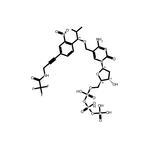 CC(C)[C@@H](OCc1cn([C@H]2C[C@H](O)[C@@H](COP(=O)(O)OP(=O)(O)OP(=O)(O)O)O2)c(=O)nc1N)c1ccc(C#CCNC(=O)C(F)(F)F)cc1[N+](=O)[O-]